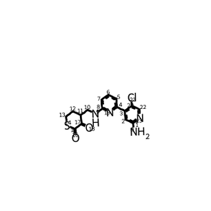 Nc1cc(-c2cccc(NCC3CCSC(=O)C3=O)n2)c(Cl)cn1